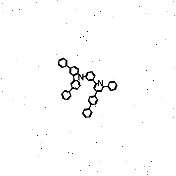 c1ccc(-c2ccc(-c3cc(-c4ccccc4)nc(-c4cccc(-n5c6ccc(-c7ccccc7)cc6c6cc(-c7ccccc7)ccc65)c4)c3)cc2)cc1